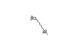 NC(=O)CCCCCCCCc1ccc2c(c1)OCO2